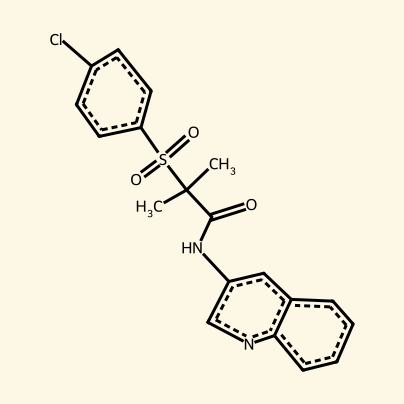 CC(C)(C(=O)Nc1cnc2ccccc2c1)S(=O)(=O)c1ccc(Cl)cc1